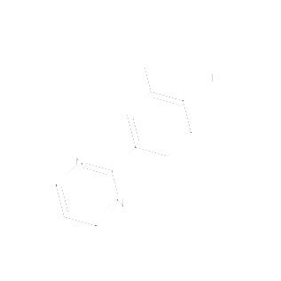 Cc1ccc(-c2ncccn2)cc1O